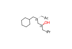 CC(=O)C[C@@H](CC1CCCCC1)C[C@@H](O)CC(C)C